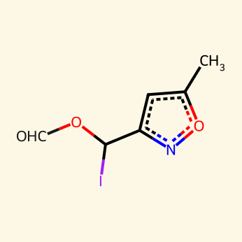 Cc1cc(C(I)OC=O)no1